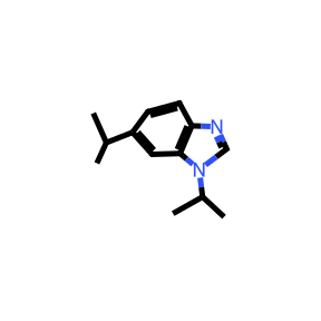 CC(C)c1ccc2ncn(C(C)C)c2c1